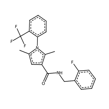 Cc1cc(C(=O)NCc2ccccc2F)c(C)n1-c1ccccc1C(F)(F)F